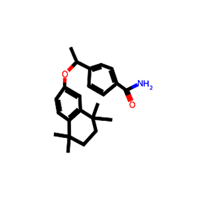 CC(Oc1ccc2c(c1)C(C)(C)CCC2(C)C)c1ccc(C(N)=O)cc1